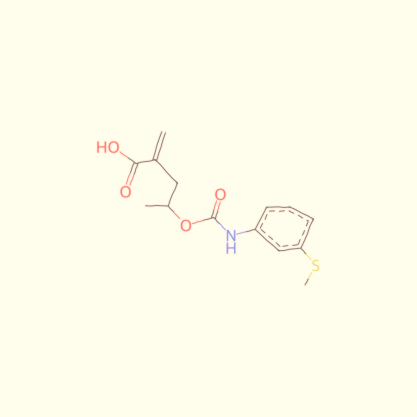 C=C(CC(C)OC(=O)Nc1cccc(SC)c1)C(=O)O